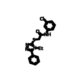 CCn1c(SCC(=O)Nc2cccc(Cl)c2)nnc1-c1ccccc1